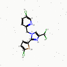 FC(F)c1cn(Cc2ccc(Cl)cn2)c(-c2ccc(Cl)s2)n1